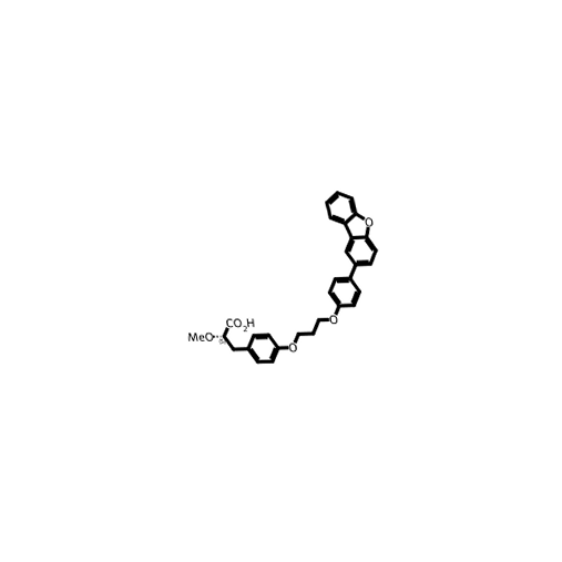 CO[C@@H](Cc1ccc(OCCCOc2ccc(-c3ccc4oc5ccccc5c4c3)cc2)cc1)C(=O)O